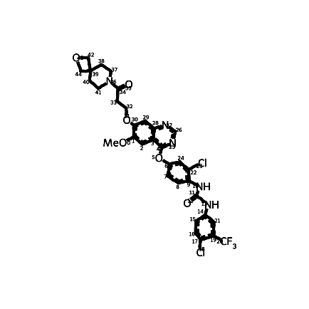 COc1cc2c(Oc3ccc(NC(=O)Nc4ccc(Cl)c(C(F)(F)F)c4)c(Cl)c3)ncnc2cc1OCCC(=O)N1CCC2(CC1)COC2